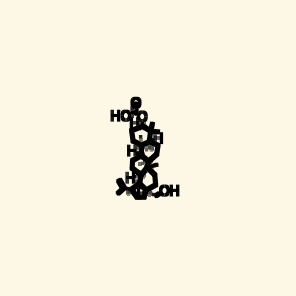 C=C(C)[C@@H]1CC[C@]2(CO)CC[C@]3(C)[C@H](CC[C@@H]4[C@@]5(C)CC[C@H](O[PH](=O)O)C(C)(C)[C@@H]5CC[C@]43C)[C@@H]12